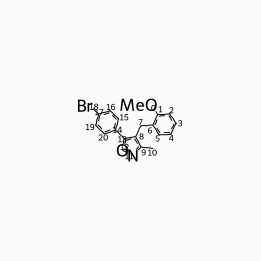 COc1ccccc1Cc1c(C)noc1-c1ccc(Br)cc1